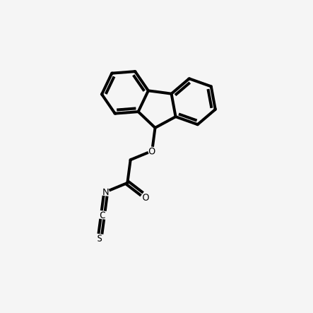 O=C(COC1c2ccccc2-c2ccccc21)N=C=S